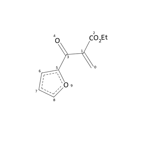 C=C(C(=O)OCC)C(=O)c1ccco1